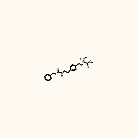 CN[C@@H](CCc1ccc(CCNC(=O)OCc2ccccc2)cc1)C(=O)OC